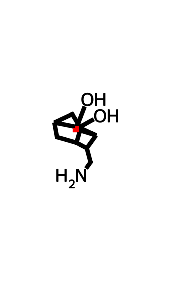 NCC1C2CC3CC2C1C(O)(O)C3